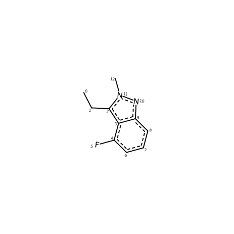 CCc1c2c(F)cccc2nn1C